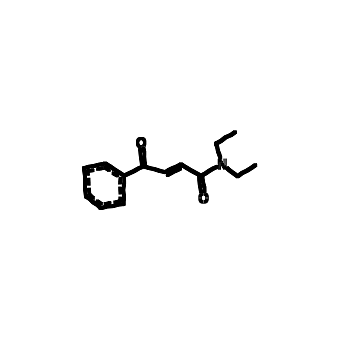 CCN(CC)C(=O)C=CC(=O)c1ccccc1